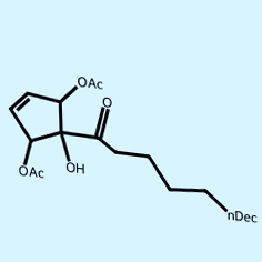 CCCCCCCCCCCCCCC(=O)C1(O)C(OC(C)=O)C=CC1OC(C)=O